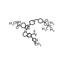 CNC(=O)N1CCc2c(c(N3CCCc4cc(-c5cnn(C)c5)c(C(F)F)cc43)nn2C2CCN(CC3CCN(C(=O)OC(C)(C)C)CC3)CC2)C1